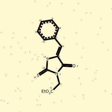 CCOC(=O)CN1C(=O)C(=Cc2ccccc2)SC1=S